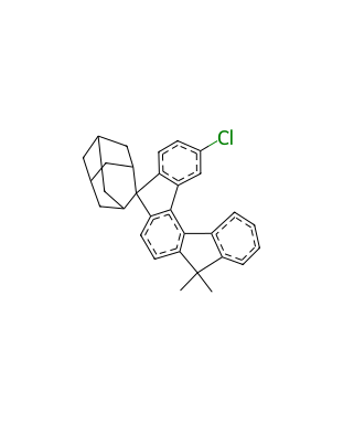 CC1(C)c2ccccc2-c2c1ccc1c2-c2cc(Cl)ccc2C12C1CC3CC(C1)CC2C3